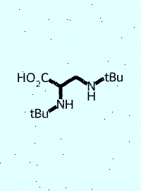 CC(C)(C)NCC(NC(C)(C)C)C(=O)O